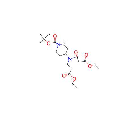 CCOC(=O)CCN(C(=O)CC(=O)OCC)C1CCN(C(=O)OC(C)(C)C)[C@H](C)C1